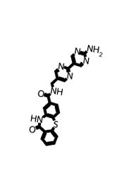 Nc1ncc(-c2ncc(CNC(=O)c3ccc4c(c3)NC(=O)c3ccccc3S4)cn2)cn1